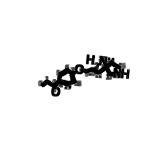 CCC(=O)c1ccc(OCCC[C@]2(N)CCNC2)cc1